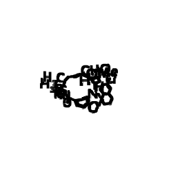 CO[C@]1(C=O)/C=C/C[C@H](C)[C@@H](C)S(=O)(=O)NC(=O)c2ccc3c(c2)N(C[C@@H]2CC[C@H]21)C[C@@]1(CCCC2C=C(Cl)C=CC21)CO3